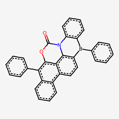 O=C1Oc2c(-c3ccccc3)c3ccccc3c3ccc4c(c23)N1c1ccccc1B4c1ccccc1